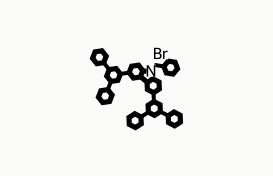 Brc1ccccc1Cn1c2ccc(-c3cc(-c4ccccc4)cc(-c4ccccc4)c3)cc2c2cc(-c3cc(-c4ccccc4)cc(-c4ccccc4)c3)ccc21